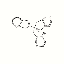 O[C@H]1c2ccccc2C[C@]1(Cc1ccccc1)C1=Cc2ccccc2C1